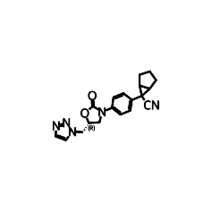 N#CC1(c2ccc(N3C[C@H](Cn4ccnn4)OC3=O)cc2)C2CCCC21